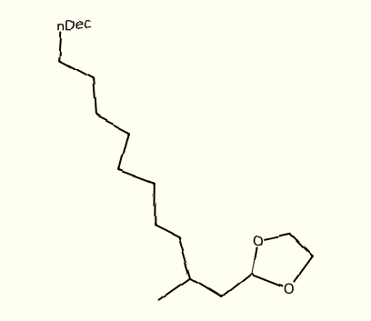 CCCCCCCCCCCCCCCCCCC(C)CC1OCCO1